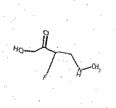 CNCC(F)C(=O)O